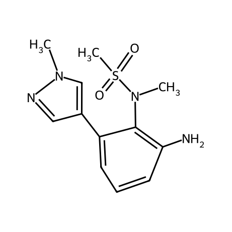 CN(c1c(N)cccc1-c1cnn(C)c1)S(C)(=O)=O